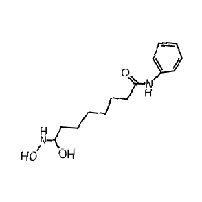 O=C(CCCCCCC(O)NO)Nc1ccccc1